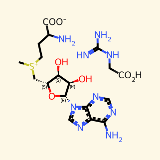 C[S+](CCC(N)C(=O)[O-])C[C@H]1O[C@@H](n2cnc3c(N)ncnc32)[C@H](O)[C@@H]1O.N=C(N)NCC(=O)O